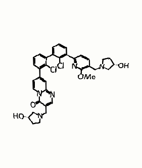 COc1nc(-c2cccc(-c3cccc(-c4ccn5c(=O)c(CN6CC[C@H](O)C6)cnc5c4)c3Cl)c2Cl)ccc1CN1CC[C@H](O)C1